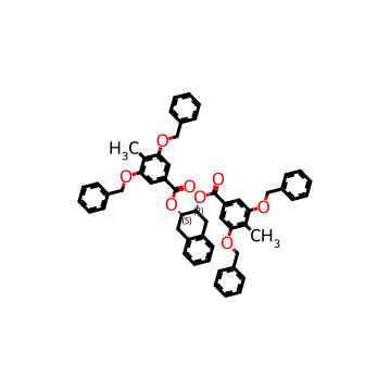 Cc1c(OCc2ccccc2)cc(C(=O)O[C@H]2Cc3ccccc3C[C@H]2OC(=O)c2cc(OCc3ccccc3)c(C)c(OCc3ccccc3)c2)cc1OCc1ccccc1